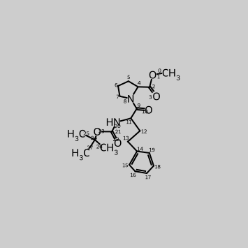 COC(=O)C1CCCN1C(=O)C(CCc1ccccc1)NC(=O)OC(C)(C)C